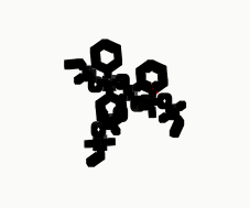 C=C[Si](C)(C)O[Si](C)(C)OC[Si](O[Si](C)(C)O[Si](C)(C)C=C)(O[Si](O[Si](C)(C)C=C)(C1C=CC=CC1)C1C=CC=CC1)c1ccccc1